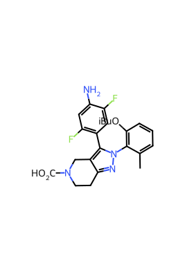 Cc1cccc(OCC(C)C)c1-n1nc2c(c1-c1cc(F)c(N)cc1F)CN(C(=O)O)CC2